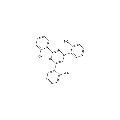 N#Cc1ccccc1C1=CN(c2ccccc2C#N)N=C(c2ccccc2C#N)N1